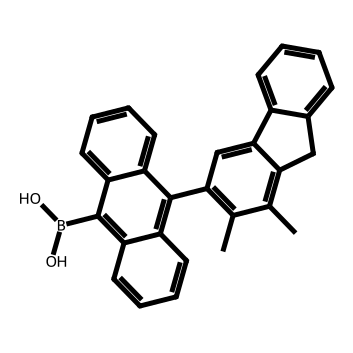 Cc1c(-c2c3ccccc3c(B(O)O)c3ccccc23)cc2c(c1C)Cc1ccccc1-2